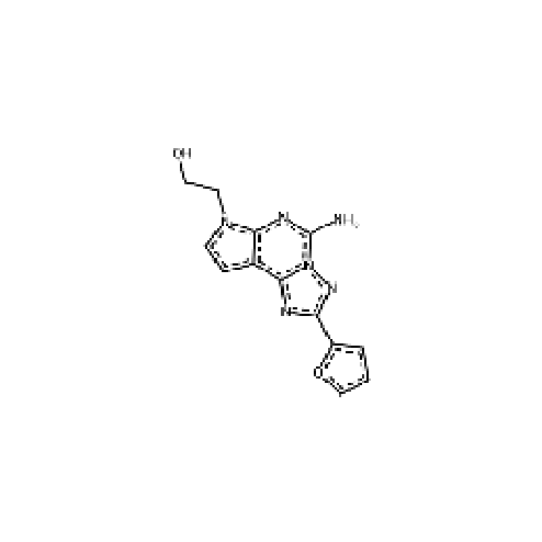 Nc1nc2c(ccn2CCO)c2nc(-c3ccco3)nn12